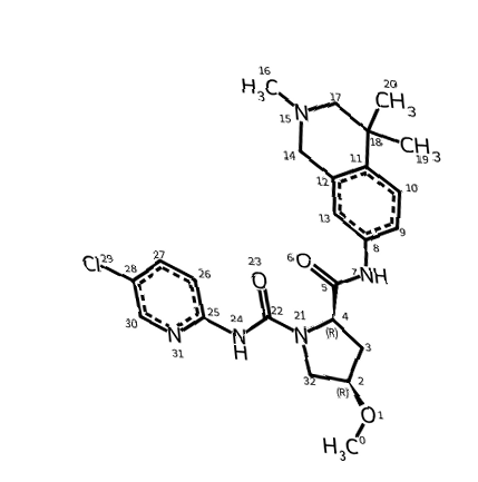 CO[C@@H]1C[C@H](C(=O)Nc2ccc3c(c2)CN(C)CC3(C)C)N(C(=O)Nc2ccc(Cl)cn2)C1